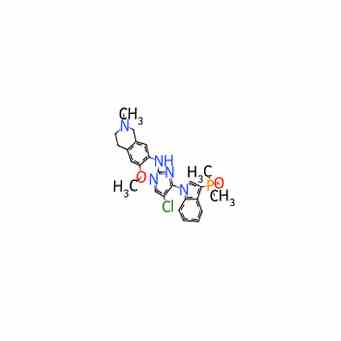 COc1cc2c(cc1Nc1ncc(Cl)c(-n3cc(P(C)(C)=O)c4ccccc43)n1)CN(C)CC2